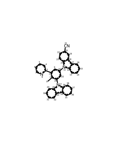 Cc1c(-c2ccccn2)cc(-n2c3ccccc3c3cc(C#N)ccc32)cc1-n1c2ccccc2c2ccccc21